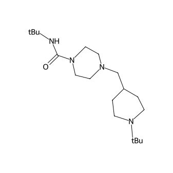 CC(C)(C)NC(=O)N1CCN(CC2CCN(C(C)(C)C)CC2)CC1